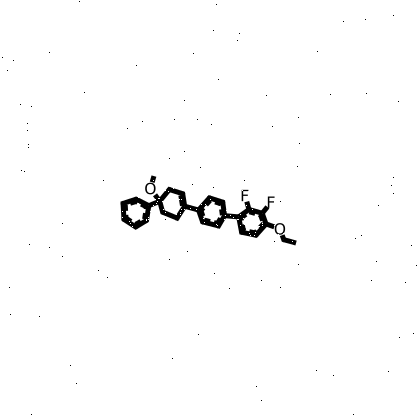 CCOc1ccc(-c2ccc(C3=CCC(OC)(c4ccccc4)CC3)cc2)c(F)c1F